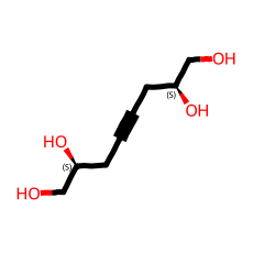 OC[C@@H](O)CC#CC[C@H](O)CO